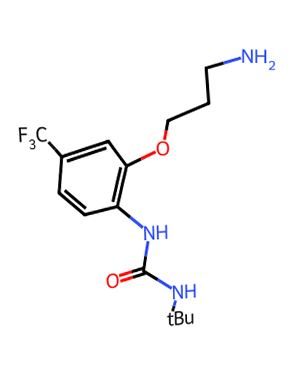 CC(C)(C)NC(=O)Nc1ccc(C(F)(F)F)cc1OCCCN